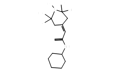 CN1C(C)(C)CC(=CC(=O)NC2CCCCC2)CC1(C)C